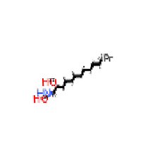 CC(C)CCCCCCCCCC(O)CNO